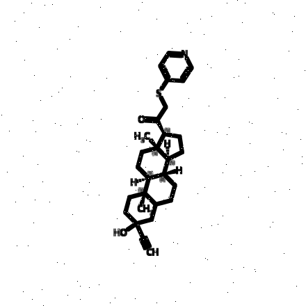 C#CC1(O)CC[C@@]2(C)C(CC[C@H]3[C@@H]4CC[C@H](C(=O)CSc5ccncc5)[C@@]4(C)CC[C@@H]32)C1